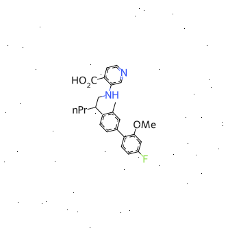 CCCC(CNc1cnccc1C(=O)O)c1ccc(-c2ccc(F)cc2OC)cc1C